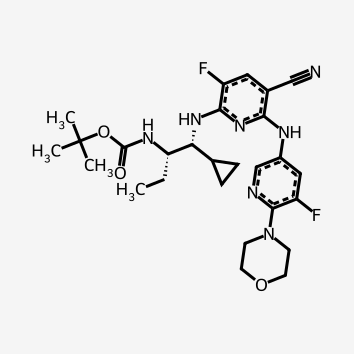 CC[C@H](NC(=O)OC(C)(C)C)[C@H](Nc1nc(Nc2cnc(N3CCOCC3)c(F)c2)c(C#N)cc1F)C1CC1